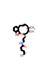 CC/C=C\C=C/C(=O)N/C=C/C[C@@H]1C[C@H](O)[C@H](C)C/C=C/Cc2cccc(O)c2C(=O)O1